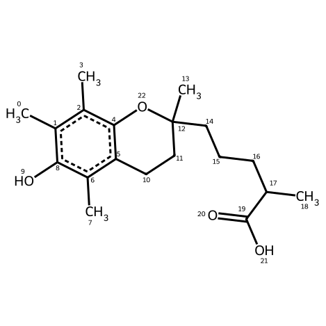 Cc1c(C)c2c(c(C)c1O)CCC(C)(CCCC(C)C(=O)O)O2